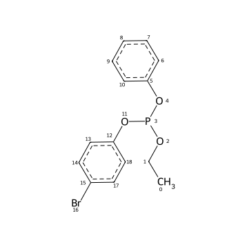 CCOP(Oc1ccccc1)Oc1ccc(Br)cc1